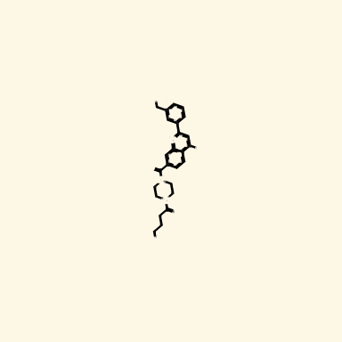 C=C(CCCC)N1CCN(C(=C)c2ccc3c(Cl)cc(-c4cccc(CC)c4)nc3c2)CC1